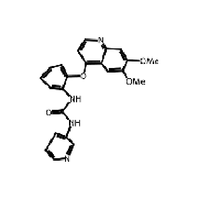 COc1cc2nccc(Oc3ccccc3NC(=O)Nc3cccnc3)c2cc1OC